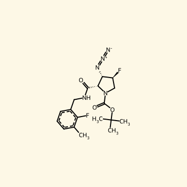 Cc1cccc(CNC(=O)[C@@H]2[C@H](N=[N+]=[N-])[C@@H](F)CN2C(=O)OC(C)(C)C)c1F